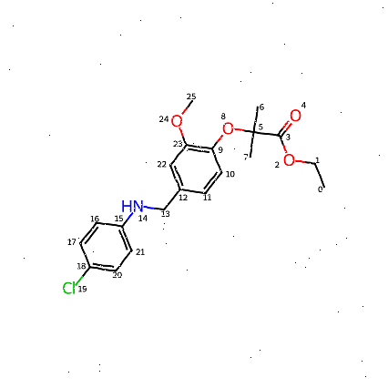 CCOC(=O)C(C)(C)Oc1ccc(CNc2ccc(Cl)cc2)cc1OC